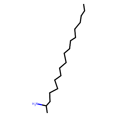 CCCCCCCCCCCCCCCCC(C)N